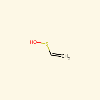 C=CSO